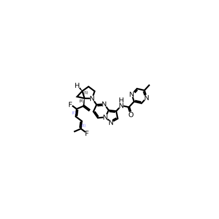 C=C(/C(F)=C\C=C(/C)F)[C@@]12C[C@@H]1CCN2c1ccn2ncc(NC(=O)c3cnc(C)cn3)c2n1